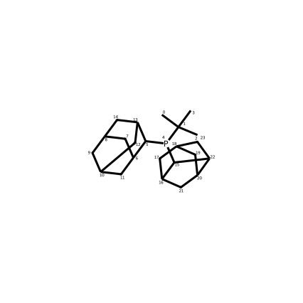 CC(C)(C)P(C1C2CC3CC(C2)CC1C3)C1C2CC3CC(C2)C1C3